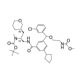 COC(=O)NCCOC(c1cccc(Cl)c1)c1cc(C(=O)NC[C@H](C[C@H]2CCCOC2)N(C)C(=O)OC(C)(C)C)cc(C2CCCC2)c1